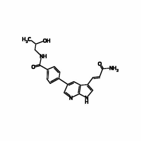 CC(O)CNC(=O)c1ccc(-c2cnc3[nH]cc(C=CC(N)=O)c3c2)cc1